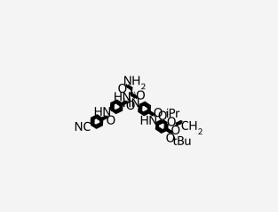 C=CCOc1c(C(=O)OC(C)(C)C)ccc(NC(=O)c2ccc(NC(=O)[C@H](CC(N)=O)NC(=O)c3ccc(NC(=O)c4ccc(C#N)cc4)cc3)cc2)c1OC(C)C